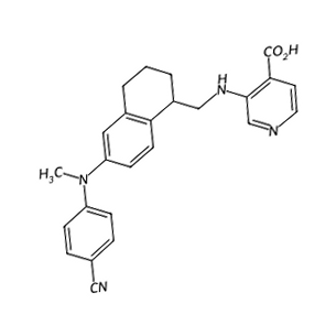 CN(c1ccc(C#N)cc1)c1ccc2c(c1)CCCC2CNc1cnccc1C(=O)O